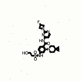 O=C(Nc1ccnc(N2CC(F)C2)n1)c1ccc(NS(=O)(=O)CCO)cc1N1CCC2(CC1)CC2